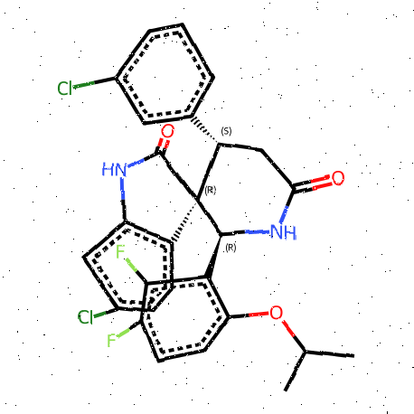 CC(C)Oc1ccc(F)c(F)c1[C@@H]1NC(=O)C[C@@H](c2cccc(Cl)c2)[C@]12C(=O)Nc1cc(Cl)ccc12